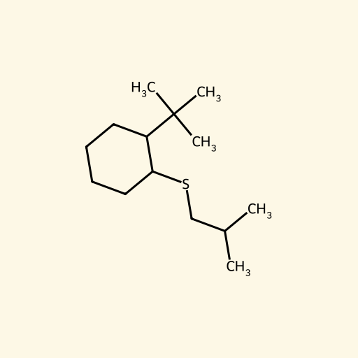 CC(C)CSC1CCCCC1C(C)(C)C